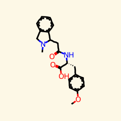 COc1ccc(C[C@@H](NC(=O)CC2c3ccccc3CN2C)C(=O)O)cc1